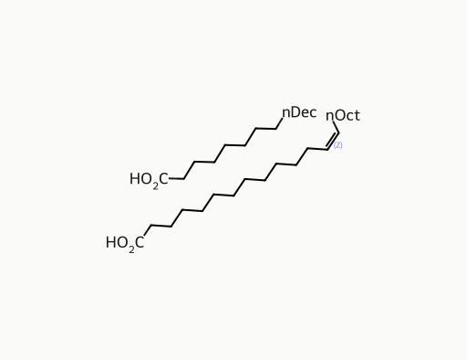 CCCCCCCC/C=C\CCCCCCCCCCCC(=O)O.CCCCCCCCCCCCCCCCCC(=O)O